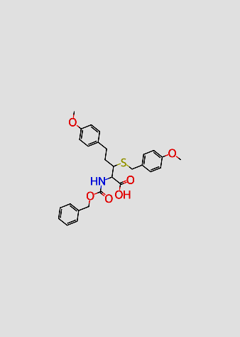 COc1ccc(CCC(SCc2ccc(OC)cc2)C(NC(=O)OCc2ccccc2)C(=O)O)cc1